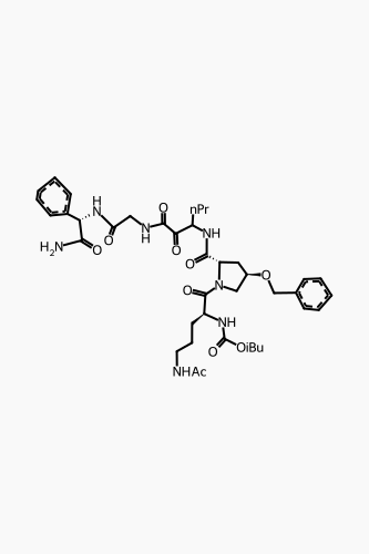 CCCC(NC(=O)[C@@H]1C[C@@H](OCc2ccccc2)CN1C(=O)[C@H](CCCNC(C)=O)NC(=O)OCC(C)C)C(=O)C(=O)NCC(=O)N[C@H](C(N)=O)c1ccccc1